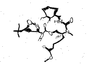 COC(=O)CCC[C@@H](COC(=O)Nc1cc(C(C)(C)C)on1)N(C)C(=O)NCc1cccc(F)c1F